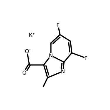 Cc1nc2c(F)cc(F)cn2c1C(=O)[O-].[K+]